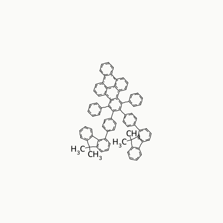 CC1(C)c2ccccc2-c2c(-c3ccc(-c4c(-c5ccc(-c6cccc7c6C(C)(C)c6ccccc6-7)cc5)c(-c5ccccc5)c5c6cccc7c8ccccc8c8cccc(c5c4-c4ccccc4)c8c76)cc3)cccc21